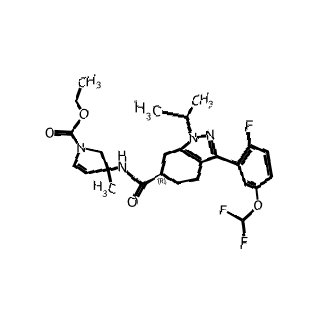 CCOC(=O)N1C=CC(C)(NC(=O)[C@@H]2CCc3c(-c4cc(OC(F)F)ccc4F)nn(C(C)C)c3C2)C1